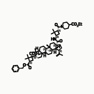 C=C(C)[C@@H]1CC[C@]2(C(=O)N[C@H]3C[C@@H](C(=O)N4CCC(C(=O)OCC)CC4)C3(C)C)CC[C@]3(C)[C@H](CC[C@@H]4[C@]5(C)CC[C@H]([C@@]6(C(=O)O)C[C@@H](C(=O)OCc7ccccc7)C6(C)C)C(C)(C)[C@H]5CC[C@]43C)[C@@H]12